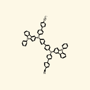 [C-]#[N+]c1ccc(-c2ccc(N(c3ccc(-c4ccc(N(c5ccc(-c6ccc(C#N)cc6)cc5)c5ccc6c(c5)c5ccccc5n6-c5ccccc5)cc4)cc3)c3ccc4c(c3)c3ccccc3n4-c3ccccc3)cc2)cc1